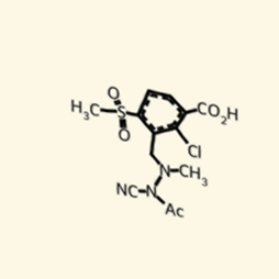 CC(=O)N(C#N)N(C)Cc1c(S(C)(=O)=O)ccc(C(=O)O)c1Cl